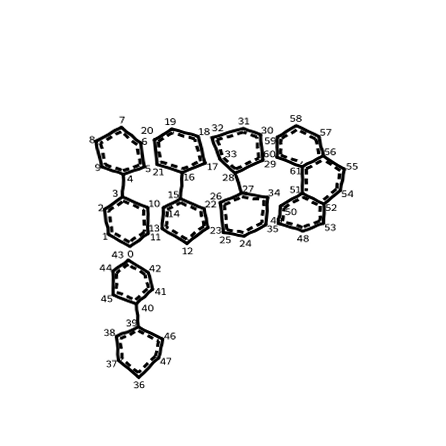 c1ccc(-c2ccccc2)cc1.c1ccc(-c2ccccc2)cc1.c1ccc(-c2ccccc2)cc1.c1ccc(-c2ccccc2)cc1.c1ccc2c(c1)ccc1ccccc12